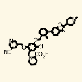 Cc1c(COc2cc(OCc3cncc(C#N)c3)c(CN3CCCCC3C(=O)O)cc2Cl)cccc1-c1ccc2nc(C3CCN(C)CC3)oc2c1